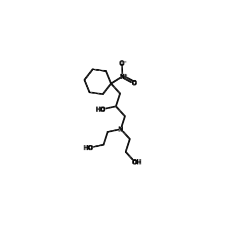 O=[N+]([O-])C1(CC(O)CN(CCO)CCO)CCCCC1